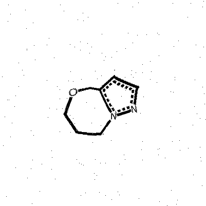 [CH]1CCOc2ccnn21